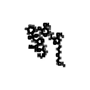 C=CCOCC=C[C@H]1CC(=C)[C@H](CC[C@H]2C[C@@H](C)C(=C)[C@@H](C[C@@H]3O[C@H](CC(O)CN)[C@H](OC)[C@H]3CS(=O)(=O)c3ccccc3)O2)O1